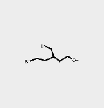 OC[CH]C(CBr)CCBr